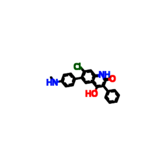 CNc1ccc(-c2cc3c(O)c(-c4ccccc4)c(=O)[nH]c3cc2Cl)cc1